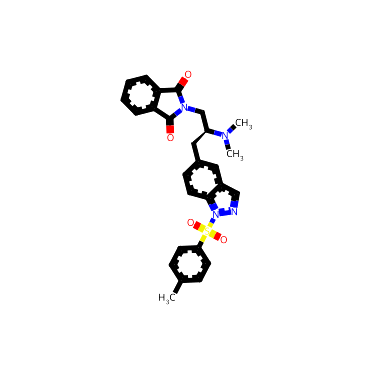 Cc1ccc(S(=O)(=O)n2ncc3cc(C[C@@H](CN4C(=O)c5ccccc5C4=O)N(C)C)ccc32)cc1